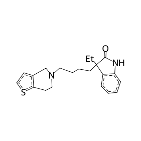 CCC1(CCCCN2CCc3sccc3C2)C(=O)Nc2ccccc21